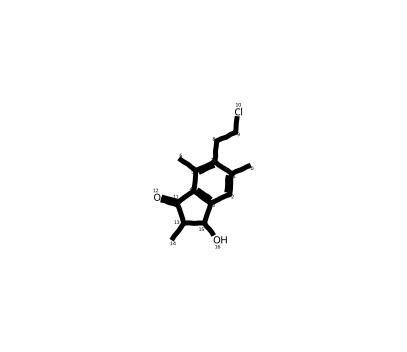 Cc1cc2c(c(C)c1CCCl)C(=O)C(C)C2O